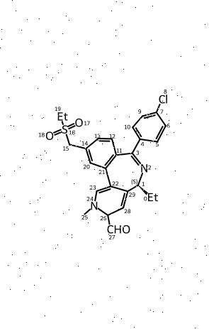 CC[C@@H]1N=C(c2ccc(Cl)cc2)c2ccc(CS(=O)(=O)CC)cc2C2=CN(C)C(C=O)C=C21